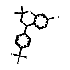 CC1(C)CC(c2ccc(C(F)(F)F)cc2)c2ccc(O)cc2O1